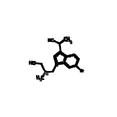 CC(C#N)c1cn(C[C@H](C)CO)c2cc(Br)ccc12